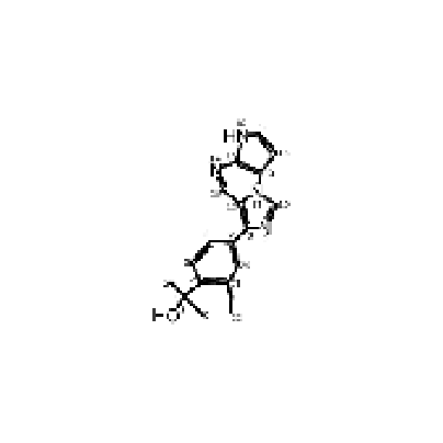 CC(C)(O)c1ccc(-c2ncn3c2cnc2[nH]ccc23)cc1F